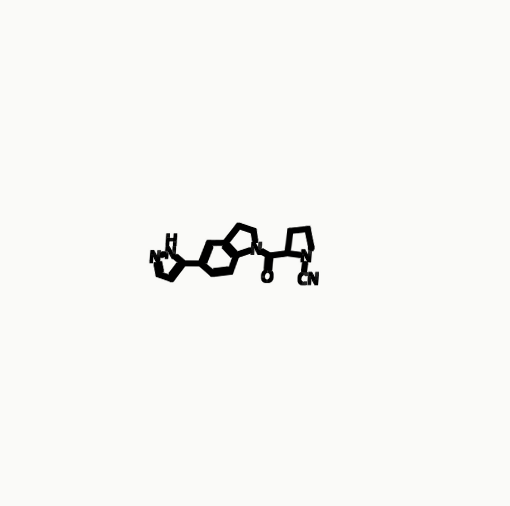 N#CN1CCCC1C(=O)N1CCc2cc(-c3ccn[nH]3)ccc21